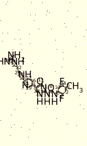 Cc1cc(F)c(NC(=O)Nc2nc(=O)c(-c3ccc(CNCCCNC(=N)N)nc3)c[nH]2)cc1F